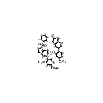 COc1cc(C)c(-c2cnc3[nH]c(I)cc3c2)cn1.COc1cc(C)c(-c2cnc3c(ccn3S(=O)(=O)c3ccccc3)c2)cn1